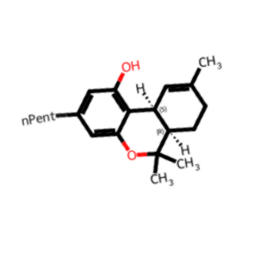 CCCCCc1cc(O)c2c(c1)OC(C)(C)[C@@H]1CCC(C)=C[C@H]21